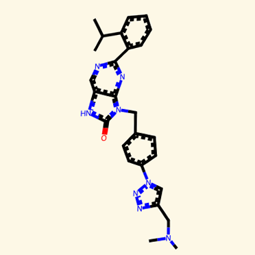 CC(C)c1ccccc1-c1ncc2[nH]c(=O)n(Cc3ccc(-n4cc(CN(C)C)nn4)cc3)c2n1